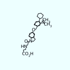 CN(C)c1cc(COc2ccc3c(c2)CCN3C(=O)CNCCC(=O)O)ccc1C1CCCCC1